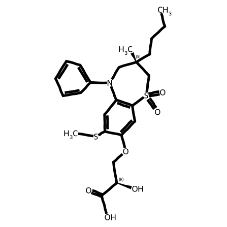 CCCC[C@@]1(C)CN(c2ccccc2)c2cc(SC)c(OC[C@@H](O)C(=O)O)cc2S(=O)(=O)C1